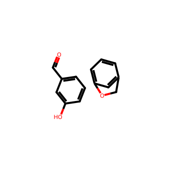 O=Cc1cccc(O)c1.c1cc2cc(c1)OC2